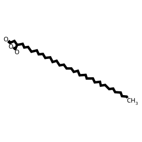 CCCCCCCCCCCCCCCCCCCCCCCCCCCCCCCCC1CC(=O)OC1=O